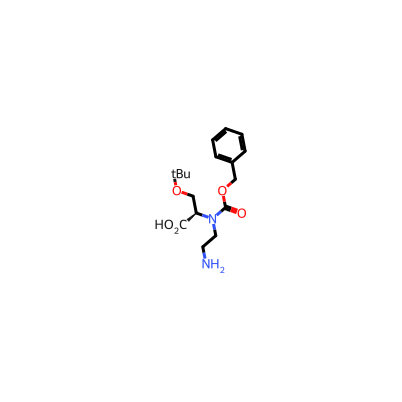 CC(C)(C)OC[C@H](C(=O)O)N(CCN)C(=O)OCc1ccccc1